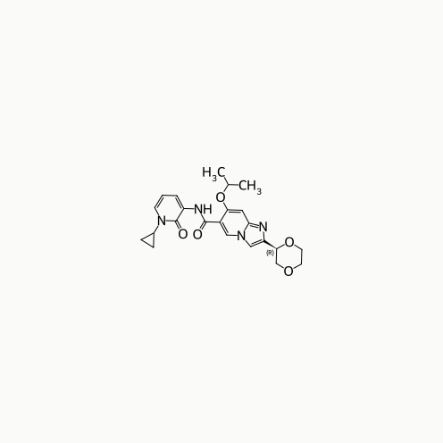 CC(C)Oc1cc2nc([C@@H]3COCCO3)cn2cc1C(=O)Nc1cccn(C2CC2)c1=O